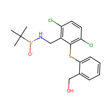 CC(C)(C)[S+]([O-])NCc1c(Cl)ccc(Cl)c1Sc1ccccc1CO